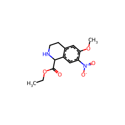 CCOC(=O)C1NCCc2cc(OC)c([N+](=O)[O-])cc21